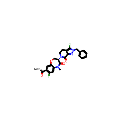 CNC(=O)c1cc2c(cc1F)N(C)C(=O)[C@@H](N1CCc3c(nn(Cc4ccccc4)c3Cl)C1=O)CO2